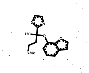 CNCCC(O)(Oc1cccc2ccoc12)c1nccs1